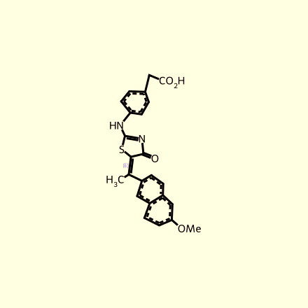 COc1ccc2cc(/C(C)=C3/SC(Nc4ccc(CC(=O)O)cc4)=NC3=O)ccc2c1